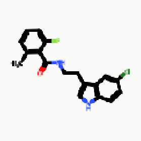 [CH2]c1cccc(F)c1C(=O)NCCc1c[nH]c2ccc(Cl)cc12